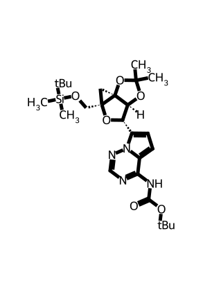 CC(C)(C)OC(=O)Nc1ncnn2c([C@@H]3O[C@@]4(CO[Si](C)(C)C(C)(C)C)C[C@@]45OC(C)(C)O[C@@H]35)ccc12